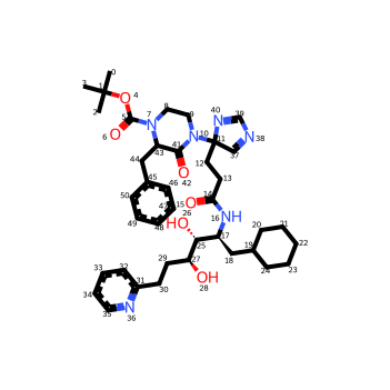 CC(C)(C)OC(=O)N1CCN(C2(CCC(=O)N[C@@H](CC3CCCCC3)[C@@H](O)[C@@H](O)CCc3ccccn3)C=NC=N2)C(=O)C1Cc1ccccc1